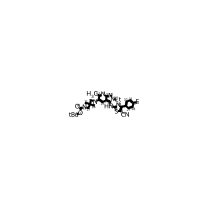 CCn1nc2nc(C)c(N3CC4(CN(C(=O)OC(C)(C)C)C4)C3)cc2c1Nc1nc(-c2ccc(F)cc2)c(C#N)s1